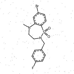 CN1CCN(Cc2ccc(F)cc2)S(=O)(=O)c2ccc(Br)cc21